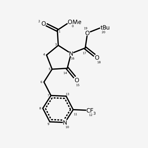 COC(=O)C1CC(Cc2ccnc(C(F)(F)F)c2)C(=O)N1C(=O)OC(C)(C)C